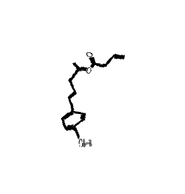 C=CCC(=O)OC(C)CCCc1ccc(O)cc1